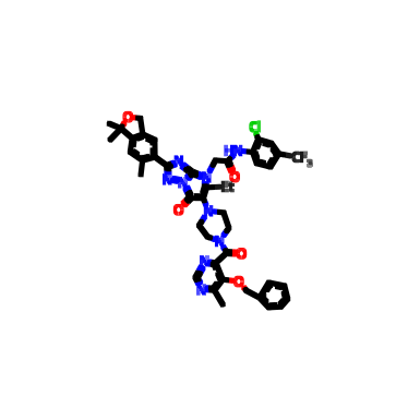 CCc1c(N2CCN(C(=O)c3ncnc(C)c3OCc3ccccc3)CC2)c(=O)n2nc(-c3cc4c(cc3C)C(C)(C)OC4)nc2n1CC(=O)Nc1ccc(C(F)(F)F)cc1Cl